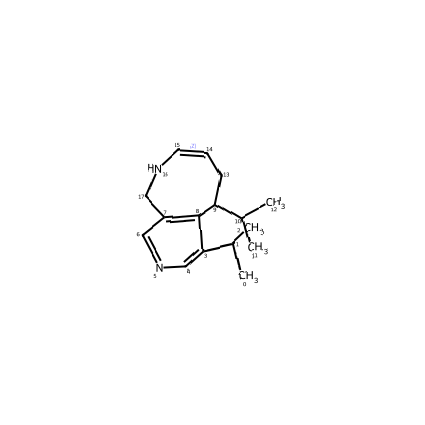 CC(C)c1cncc2c1C(C(C)C)C/C=C\NC2